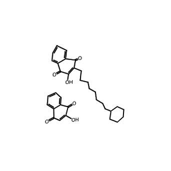 O=C1C(O)=C(CCCCCCCCC2CCCCC2)C(=O)c2ccccc21.O=C1C=C(O)C(=O)c2ccccc21